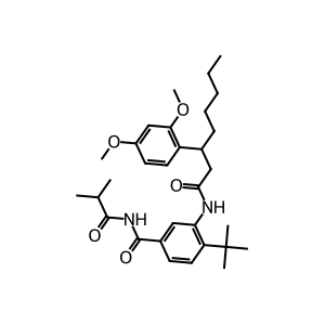 CCCCCC(CC(=O)Nc1cc(C(=O)NC(=O)C(C)C)ccc1C(C)(C)C)c1ccc(OC)cc1OC